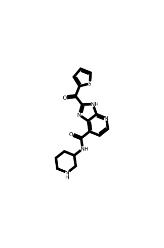 O=C(c1nc2c(C(=O)NC3CCCNC3)ccnc2[nH]1)c1cccs1